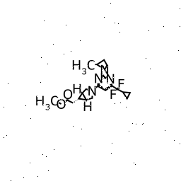 COC(=O)C[C@@H]1[C@H]2CN(c3cc(C(F)(F)C4CC4)nc(N4CC[C@@H]4C)n3)C[C@@H]12